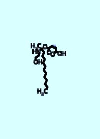 CCCCCCCCCCCCC(C)(NCCO)OC(=O)/C=C\C(=O)O